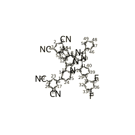 N#Cc1cc(C#N)cc(-c2ccc3c(c2)c2cc(-c4cc(C#N)cc(C#N)c4)ccc2n3-c2cc(-c3ccc(F)cc3F)ccc2-c2nc(-c3ccccc3)nc(-c3ccccc3)n2)c1